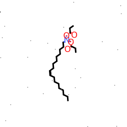 CCCCCCCC/C=C\CCCCCCCCN(OC(=O)CC)OC(=O)CC